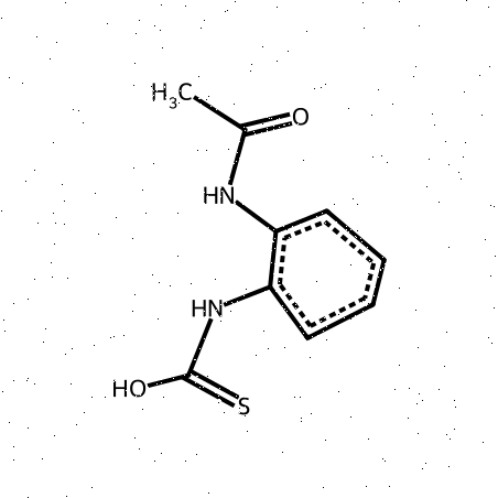 CC(=O)Nc1ccccc1NC(O)=S